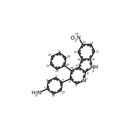 Nc1ccc(-c2cnc3[nH]c4ccc([N+](=O)[O-])cc4c3c2-c2ccccc2)cc1